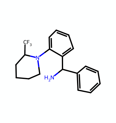 NC(c1ccccc1)c1ccccc1N1CCCCC1C(F)(F)F